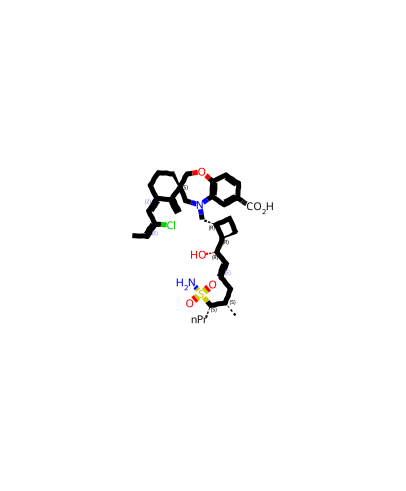 C=C1/C(=C\C(Cl)=C/C)CCC[C@]12COc1ccc(C(=O)O)cc1N(C[C@@H]1CC[C@H]1[C@@H](O)/C=C/C[C@H](C)[C@H](CCC)S(N)(=O)=O)C2